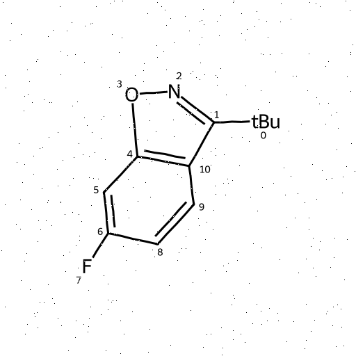 CC(C)(C)c1noc2cc(F)ccc12